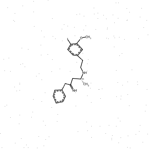 COc1cc(CCN[C@H](C)CC(=N)Cc2ccccc2)ccc1I